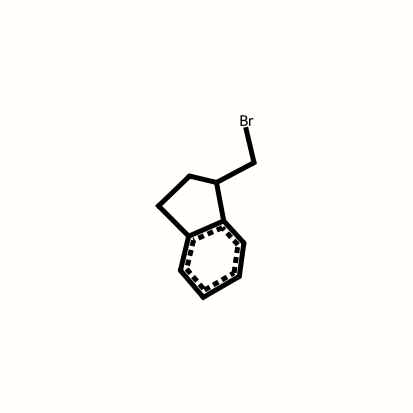 BrCC1CCc2ccccc21